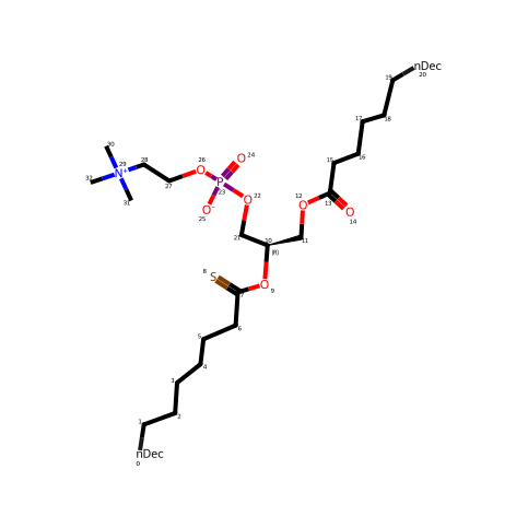 CCCCCCCCCCCCCCCCC(=S)O[C@H](COC(=O)CCCCCCCCCCCCCCC)COP(=O)([O-])OCC[N+](C)(C)C